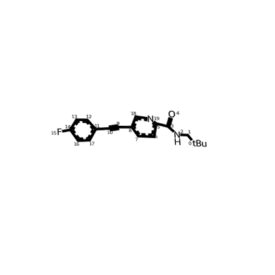 CC(C)(C)CNC(=O)c1ccc(C#Cc2ccc(F)cc2)cn1